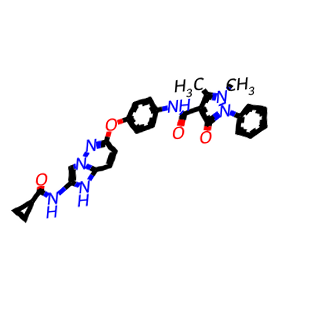 Cc1c(C(=O)Nc2ccc(OC3=NN4C=C(NC(=O)C5CC5)NC4C=C3)cc2)c(=O)n(-c2ccccc2)n1C